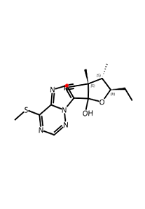 CC[C@H]1OC(O)(c2cnc3c(SC)ncnn23)[C@](C)(C#N)[C@@H]1C